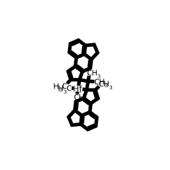 CC1=Cc2c(cc3c4c(cccc24)CC3)[C]12C(C)(C)[C]1(C(C)=Cc3c1cc1c4c(cccc34)CC1)[Hf]2([CH3])[CH3]